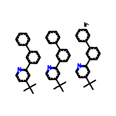 CC(C)(C)c1ccnc(-c2cccc(-c3ccccc3)c2)c1.CC(C)(C)c1ccnc(-c2cccc(-c3ccccc3)c2)c1.CC(C)(C)c1ccnc(-c2cccc(-c3ccccc3)c2)c1.[Ir]